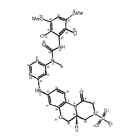 CCS(=O)(=O)N1CC(=O)N2c3ccc(Nc4cc(N(C)C(=O)Nc5c(Cl)c(OC)cc(OC)c5Cl)ncn4)cc3OC[C@H]2C1